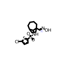 O=S(=O)(NC1C2CCCCC1(/C=N/O)CC2)c1ccc(Cl)s1